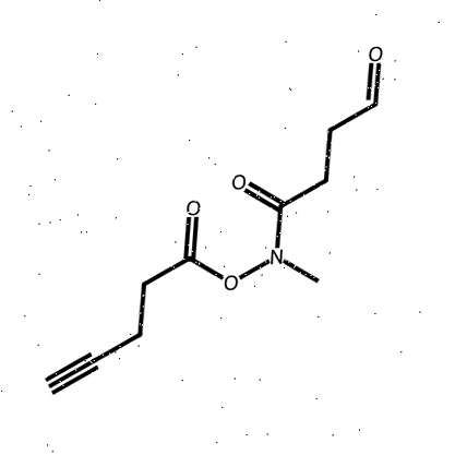 C#CCCC(=O)ON(C)C(=O)CCC=O